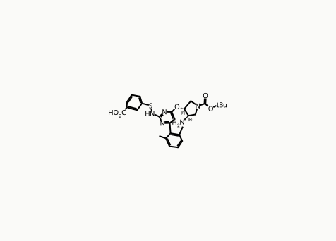 Cc1cccc(C)c1-c1cc(O[C@@H]2CN(C(=O)OC(C)(C)C)C[C@H]2N)nc(NSc2cccc(C(=O)O)c2)n1